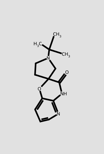 CC(C)(C)N1CCC2(C1)Oc1cccnc1NC2=O